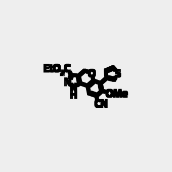 CCOC(=O)c1n[nH]c2c1COc1c-2cc(C#N)c(OC)c1-c1ccsc1